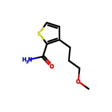 COCCCc1ccsc1C(N)=O